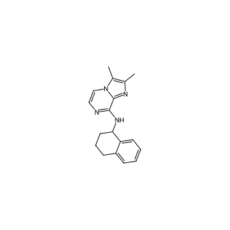 Cc1nc2c(NC3CCCc4ccccc43)nccn2c1C